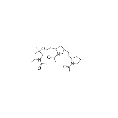 CC(=O)N1C[C@](C)(OCCC2C[C@@](C)(CCC3C[C@H](C)CN3C(C)=O)CN2C(C)=O)CC1C